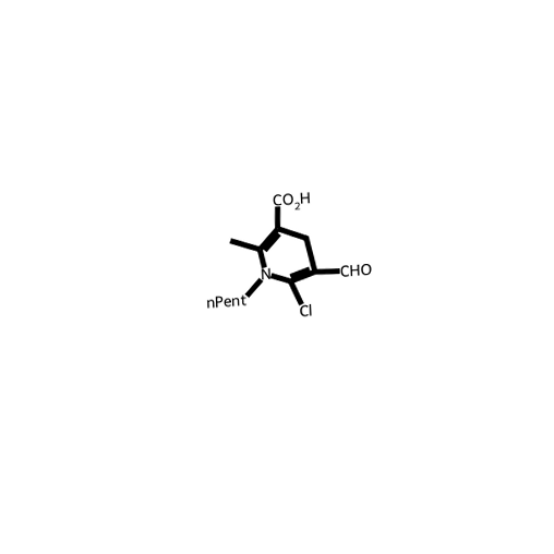 CCCCCN1C(C)=C(C(=O)O)CC(C=O)=C1Cl